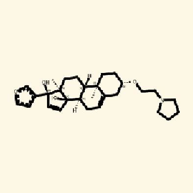 C[C@]12CC[C@H]3[C@@H](CC=C4C[C@@H](OCCN5CCCC5)CC[C@@]43C)[C@]1(O)C=C[C@]2(O)c1ccoc1